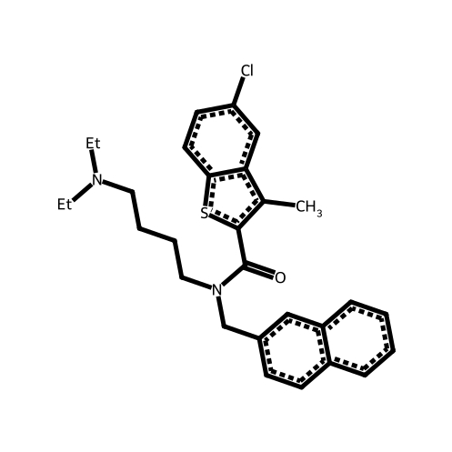 CCN(CC)CCCCN(Cc1ccc2ccccc2c1)C(=O)c1sc2ccc(Cl)cc2c1C